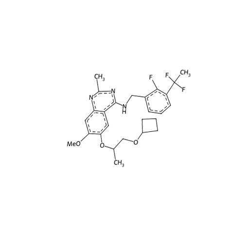 COc1cc2nc(C)nc(NCc3cccc(C(C)(F)F)c3F)c2cc1OC(C)COC1CCC1